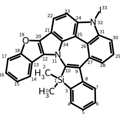 C[Si]1(C)c2ccccc2-c2c1n1c3c4ccccc4oc3c3ccc4c(c5c2cccc5n4I)c31